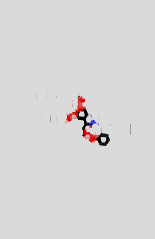 CCCCCC(=O)Oc1ccc(C(CC(C)OC(=O)c2ccccc2)[C@H](N)C(=O)O)cc1OC(=O)CCCCC